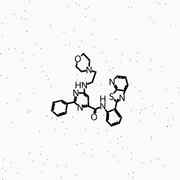 O=C(Nc1ccccc1-c1nc2cccnc2s1)c1cc(NCCN2CCOCC2)nc(-c2ccccc2)n1